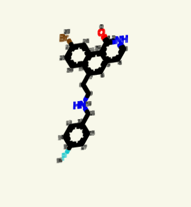 O=c1[nH]ccc2cc(CCNCc3ccc(F)cc3)c3ccc(Br)cc3c12